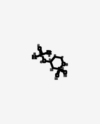 CCP(=O)(CC)OC1CCOS(=O)(=O)C1